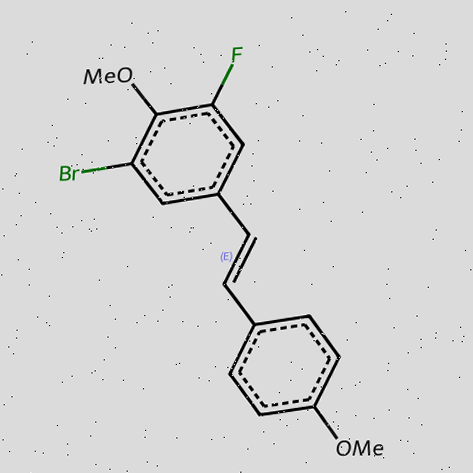 COc1ccc(/C=C/c2cc(F)c(OC)c(Br)c2)cc1